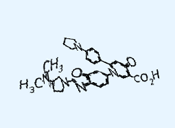 CN(C)[C@@H]1CCN(c2nc3ccc(-n4cc(C(=O)O)c(=O)cc4-c4ccc(N5CCCC5)cc4)cc3o2)C1